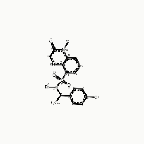 CCN(C(c1ccc(Cl)cc1)C(F)(F)F)S(=O)(=O)c1cccc2c1ncc(=O)n2C